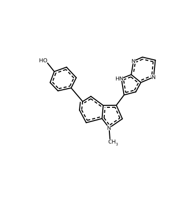 Cn1cc(-c2cc3nccnc3[nH]2)c2cc(-c3ccc(O)cc3)ccc21